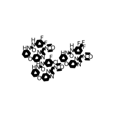 O=C(Nc1cccc(Oc2ccc3ncc(CN4CCOCC4)nc3c2)c1)Nc1ccc(Cl)c(F)c1.O=C(Nc1cccc(Oc2ccc3ncc(CN4CCOCC4)nc3c2)c1)Nc1ccc(F)c(F)c1.O=C(Nc1cccc(Oc2ccc3ncc(CN4CCOCC4)nc3c2)c1)Nc1cccc(C(F)(F)F)c1